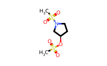 CS(=O)(=O)O[C@@H]1CCN(S(C)(=O)=O)C1